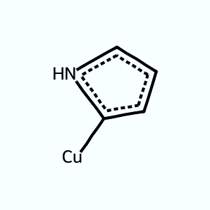 [Cu][c]1ccc[nH]1